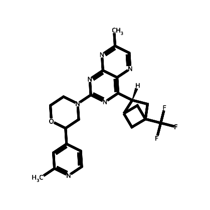 Cc1cc(C2CN(c3nc([C@@H]4CC5(C(F)(F)F)CC4C5)c4ncc(C)nc4n3)CCO2)ccn1